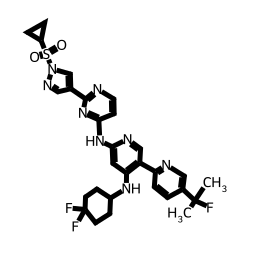 CC(C)(F)c1ccc(-c2cnc(Nc3ccnc(-c4cnn(S(=O)(=O)C5CC5)c4)n3)cc2NC2CCC(F)(F)CC2)nc1